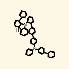 C1=CC(c2ccccc2)=C2[C@@H](C1)c1ccccc1N2c1ccccc1-c1ccc(-c2ccc(N(c3ccccc3)c3ccc(-c4ccccc4)cc3)cc2)cc1